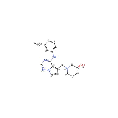 COc1cccc(Nc2ncnn3ccc(CN4CCC[C@H](O)C4)c23)c1